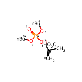 C=C(C)C(=O)O.CCCCOP(=O)(O)OCCCC